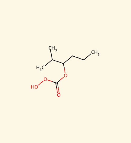 CCCC(OC(=O)OO)C(C)C